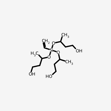 C=C[Si](OC(C)CCO)(OC(C)CCO)OC(C)CCO